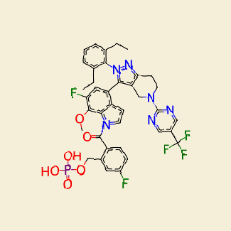 CCc1cccc(CC)c1-n1nc2c(c1-c1cc(F)c(OC)c3c1ccn3C(=O)c1ccc(F)cc1COP(=O)(O)O)CN(c1ncc(C(F)(F)F)cn1)CC2